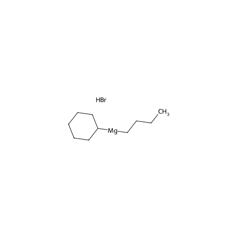 Br.CCC[CH2][Mg][CH]1CCCCC1